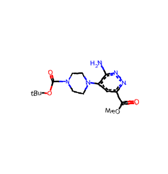 COC(=O)c1cc(N2CCN(C(=O)OC(C)(C)C)CC2)c(N)nn1